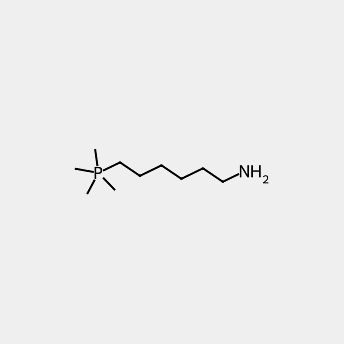 CP(C)(C)(C)CCCCCCN